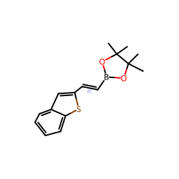 CC1(C)OB(/C=C/c2cc3ccccc3s2)OC1(C)C